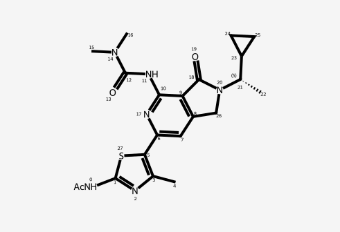 CC(=O)Nc1nc(C)c(-c2cc3c(c(NC(=O)N(C)C)n2)C(=O)N([C@@H](C)C2CC2)C3)s1